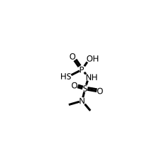 CN(C)S(=O)(=O)NP(=O)(O)S